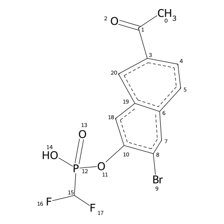 CC(=O)c1ccc2cc(Br)c(OP(=O)(O)C(F)F)cc2c1